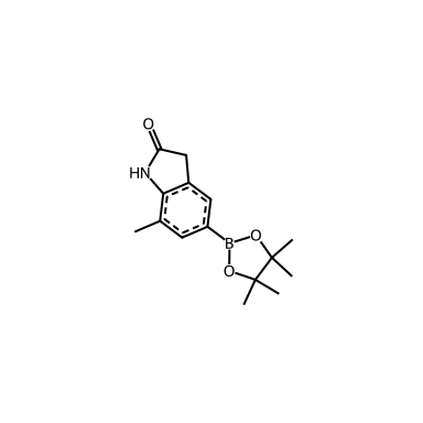 Cc1cc(B2OC(C)(C)C(C)(C)O2)cc2c1NC(=O)C2